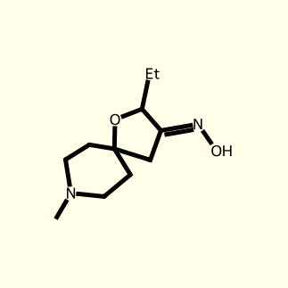 CCC1OC2(CCN(C)CC2)CC1=NO